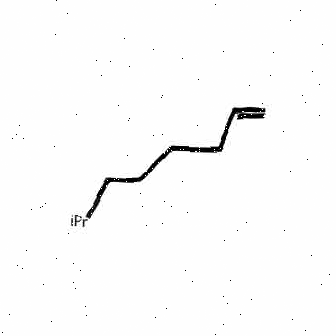 C=CCCCCC(C)C